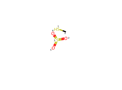 CS.O=S(=O)=O